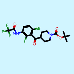 CC(C)(C)OC(=O)N1CCC(C(=O)c2c(Br)ccc(NC(=O)C(F)(F)F)c2F)CC1